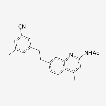 [CH2]c1cc(C#N)cc(CCc2ccc3c(C)cc(NC(C)=O)nc3c2)c1